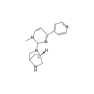 CN1C=CC(c2ccncc2)=NC1N1CC2C[C@H]1CN2